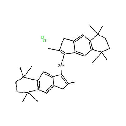 CC1=[C]([Zr+2][C]2=C(C)Cc3cc4c(cc32)C(C)(C)CCC4(C)C)c2cc3c(cc2C1)C(C)(C)CCC3(C)C.[Cl-].[Cl-]